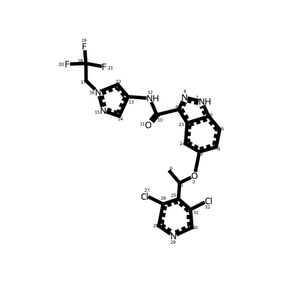 CC(Oc1ccc2[nH]nc(C(=O)Nc3cnn(CC(F)(F)F)c3)c2c1)c1c(Cl)cncc1Cl